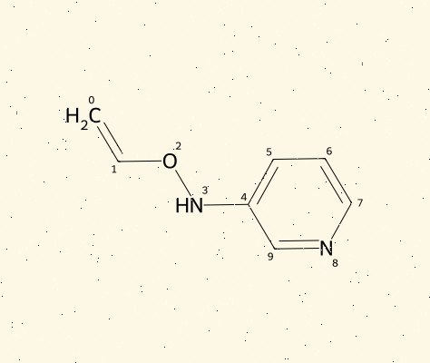 C=CONc1cccnc1